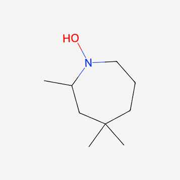 CC1CC(C)(C)CCCN1O